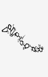 O=C1CCC(Nc2ccc(N3CCC(N4CCC(C(=O)NC5CCC(Nc6ncc(F)c(-c7cccc(N8CCCCC8=O)c7)n6)CC5)CC4)C(F)C3)c(F)c2)C(=O)N1